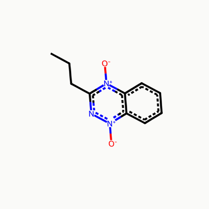 CCCc1n[n+]([O-])c2ccccc2[n+]1[O-]